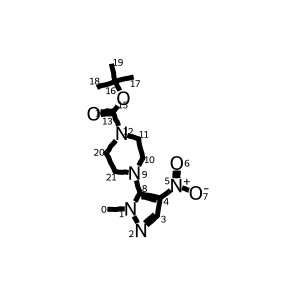 Cn1ncc([N+](=O)[O-])c1N1CCN(C(=O)OC(C)(C)C)CC1